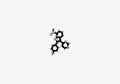 C[S+]([O-])c1cccc2c(-c3ccncn3)c(-c3ccc(F)cc3)nn12